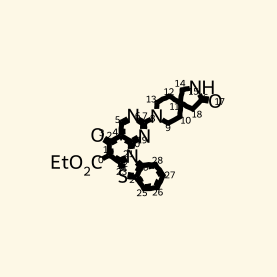 CCOC(=O)c1c(=O)c2cnc(N3CCC4(CC3)CNC(=O)C4)nc2n2c1sc1ccccc12